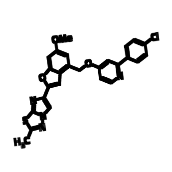 COc1cc(COc2ccnc(-c3ccc(Cl)cc3)c2)c2cc(-c3cn4nc(C)sc4n3)oc2c1